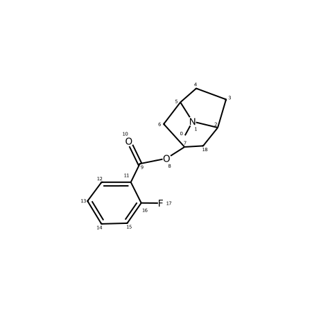 CN1C2CCC1CC(OC(=O)c1ccccc1F)C2